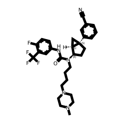 CN1CCN(CCCCN(C(=O)Nc2ccc(F)c(C(F)(F)F)c2)[C@@H]2CC[C@]3(c4cccc(C#N)c4)C[C@H]23)CC1